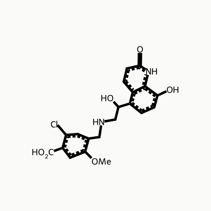 COc1cc(C(=O)O)c(Cl)cc1CNCC(O)c1ccc(O)c2[nH]c(=O)ccc12